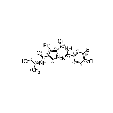 CC(C)c1c(C(=O)NC(CO)C(F)(F)F)cn2nc(-c3ccc(Cl)c(F)c3)[nH]c(=O)c12